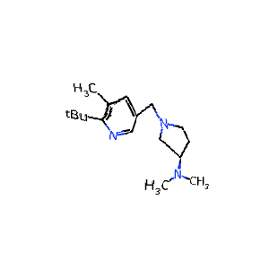 Cc1cc(CN2CC[C@@H](N(C)C)C2)cnc1C(C)(C)C